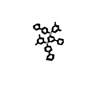 Cc1cc(C)cc(N(c2ccc(-c3ccccc3)cc2)c2cc(-c3ccccc3)cc(N(c3ccc(-c4ccccc4)cc3)c3cc(C)cc(C)c3)c2)c1